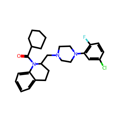 O=C(C1CCCCC1)N1c2ccccc2CCC1CN1CCN(c2cc(Cl)ccc2F)CC1